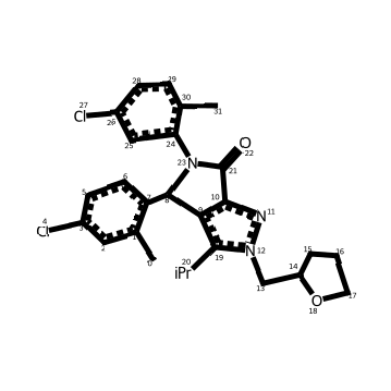 Cc1cc(Cl)ccc1C1c2c(nn(CC3CCCO3)c2C(C)C)C(=O)N1c1cc(Cl)ccc1C